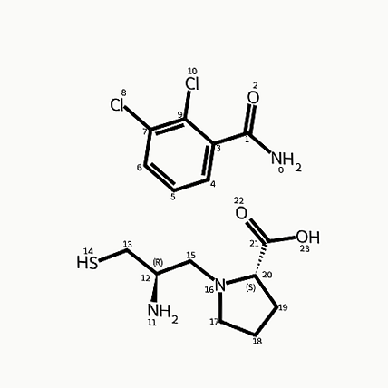 NC(=O)c1cccc(Cl)c1Cl.N[C@@H](CS)CN1CCC[C@H]1C(=O)O